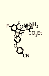 CCOC(=O)/C(=N/N)N(N)CC(O)(c1ccc(F)cc1F)C(F)(F)c1ccc(Oc2ccc(C#N)cc2)cn1